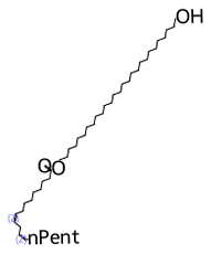 CCCCC/C=C\C/C=C\CCCCCCCC(=O)OCCCCCCCCCCCCCCCCCCCCCCCCCCCO